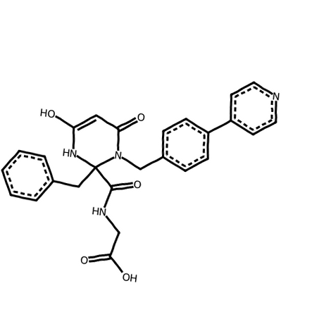 O=C(O)CNC(=O)C1(Cc2ccccc2)NC(O)=CC(=O)N1Cc1ccc(-c2ccncc2)cc1